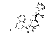 O=C(O)CC(c1ccccc1)n1cnc2ccc(NC(=O)c3csnn3)cc21